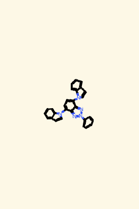 c1ccc(-n2nc3c(-n4ccc5ccccc54)ccc(-n4ccc5ccccc54)c3n2)cc1